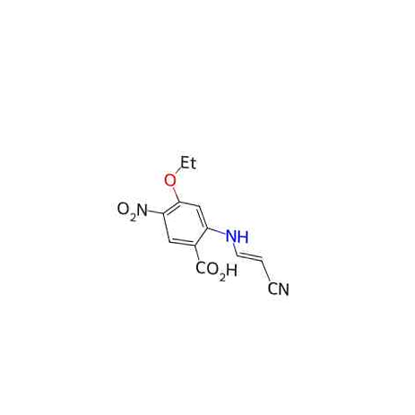 CCOc1cc(NC=CC#N)c(C(=O)O)cc1[N+](=O)[O-]